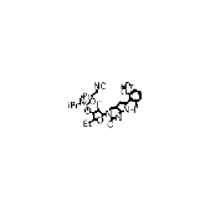 [C-]#[N+]CCOP(OC1C(CC)OC(n2cc3cc(-c4c(C)cccc4OCCC)[nH]c3nc2=O)C1F)N(C(C)C)C(C)C